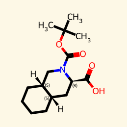 CC(C)(C)OC(=O)N1C[C@H]2CCCC[C@H]2C[C@@H]1C(=O)O